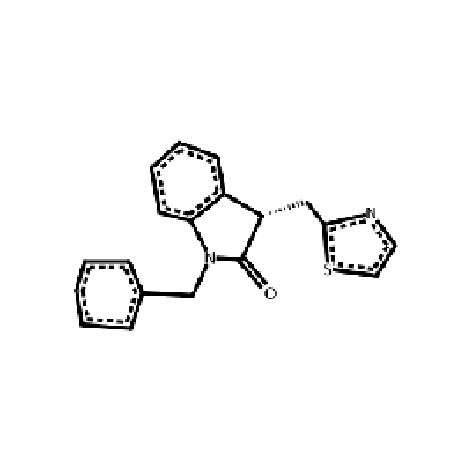 O=C1[C@@H](Cc2nccs2)c2ccccc2N1Cc1ccccc1